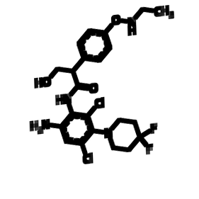 CCNOc1ccc(C(CO)C(=O)Nc2c(N)cc(Cl)c(N3CCC(F)(F)CC3)c2Cl)cc1